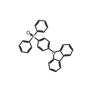 O=P(c1ccccc1)(c1ccccc1)c1ccc(-n2c3ccccc3c3ccccc32)cc1